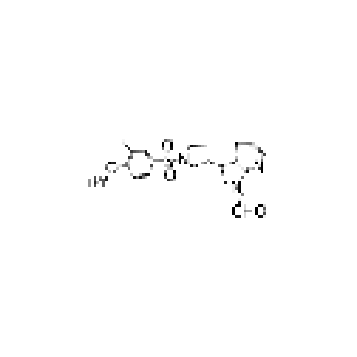 Cc1cc(S(=O)(=O)N2CCC(C3CN(CC=O)c4ncccc43)C2)ccc1OC(C)C